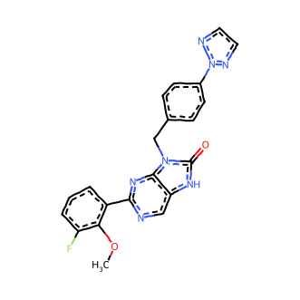 COc1c(F)cccc1-c1ncc2[nH]c(=O)n(Cc3ccc(-n4nccn4)cc3)c2n1